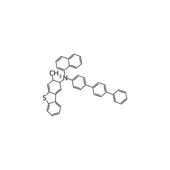 CC1C=c2sc3ccccc3c2=CC1N(c1ccc(-c2ccc(-c3ccccc3)cc2)cc1)c1cccc2ccccc12